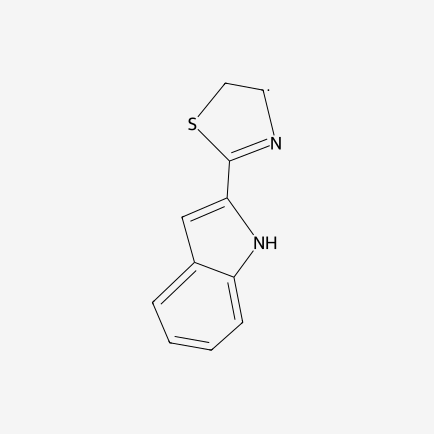 [CH]1CSC(c2cc3ccccc3[nH]2)=N1